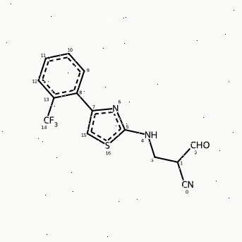 N#CC(C=O)CNc1nc(-c2ccccc2C(F)(F)F)cs1